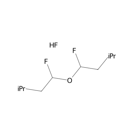 CC(C)CC(F)OC(F)CC(C)C.F